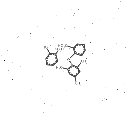 Cc1cc(C)c(Oc2ccccc2C(=O)O)c(C)c1.O=C(O)c1ccccc1O